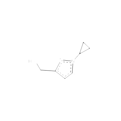 CCc1ccn(C2CC2)n1